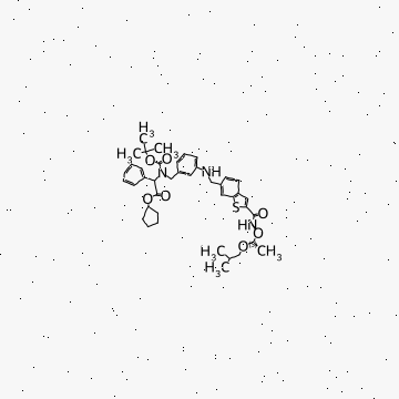 CC(C)CO[C@H](C)ONC(=O)c1cc2ccc(CNc3cccc(CN(C(=O)OC(C)(C)C)C(C(=O)OC4CCCC4)c4ccccc4)c3)cc2s1